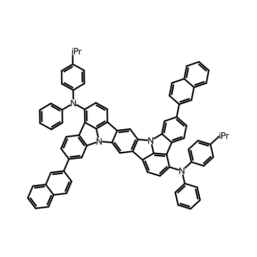 CC(C)c1ccc(N(c2ccccc2)c2ccc3c4cc5c(cc4n4c6cc(-c7ccc8ccccc8c7)ccc6c2c34)c2ccc(N(c3ccccc3)c3ccc(C(C)C)cc3)c3c4ccc(-c6ccc7ccccc7c6)cc4n5c23)cc1